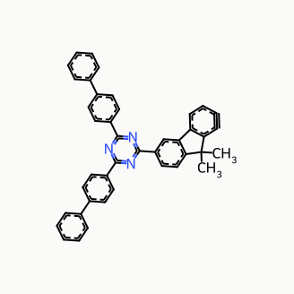 CC1(C)c2c#cccc2-c2cc(-c3nc(-c4ccc(-c5ccccc5)cc4)nc(-c4ccc(-c5ccccc5)cc4)n3)ccc21